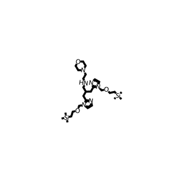 C[Si](C)(C)CCOCn1ccnc1CC(CNCCN1CCOCC1)Cc1nccn1COCC[Si](C)(C)C